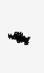 CC(C)c1cc(F)cc(Br)c1CC(=O)N=S(=O)(NC(=O)O)c1cnc(C(C)(C)O)s1